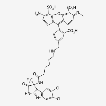 C/N=c1\ccc2c(-c3ccc(CNCCCCCC(=O)NC4(C(F)(F)F)C(=O)Nc5nc6cc(Cl)c(Cl)cc6n54)cc3C(=O)O)c3ccc(N)c(S(=O)(=O)O)c3oc-2c1S(=O)(=O)O